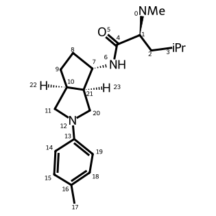 CN[C@@H](CC(C)C)C(=O)N[C@H]1CC[C@@H]2CN(c3ccc(C)cc3)C[C@@H]21